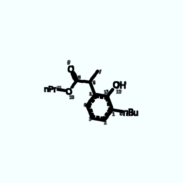 CCCCc1cccc(C(C)C(=O)OCCC)c1O